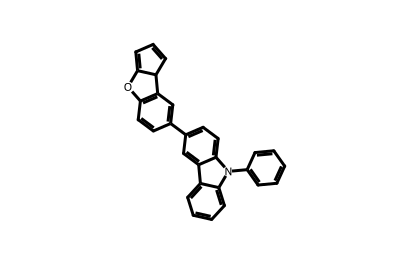 C1=CC2C(=C1)Oc1ccc(-c3ccc4c(c3)c3ccccc3n4-c3ccccc3)cc12